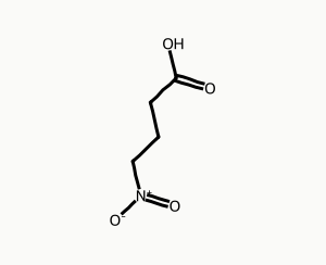 O=C(O)CCC[N+](=O)[O-]